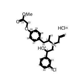 C=CCN(CC(O)c1cccc(Cl)c1)C(C)Cc1ccc(OCC(=O)OC)cc1.Cl